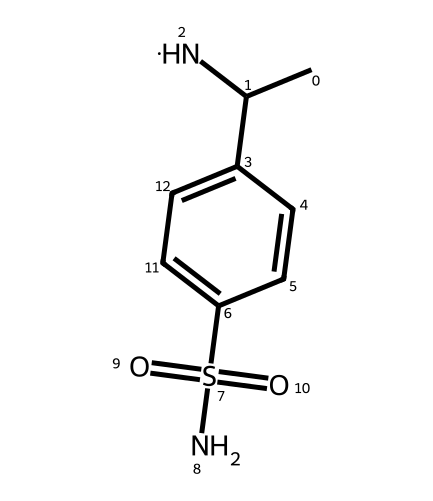 CC([NH])c1ccc(S(N)(=O)=O)cc1